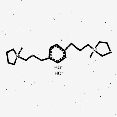 C[N+]1(CCCc2ccc(CCC[N+]3(C)CCCC3)cc2)CCCC1.[OH-].[OH-]